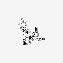 Cc1ccc(S(=O)(=O)N2CC(=O)NC([C@@]3(O[SiH](C)C)C[C@H](C(C)(C)C)CN3C(=O)OC(C)(C)C)C2)cc1